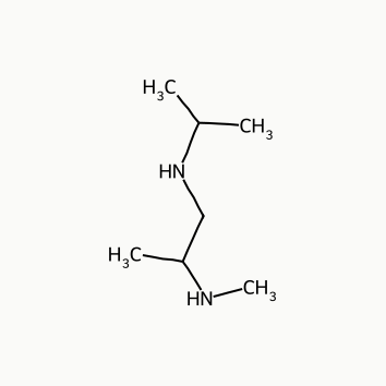 CNC(C)CNC(C)C